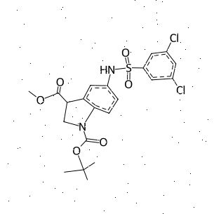 COC(=O)C1CN(C(=O)OC(C)(C)C)c2ccc(NS(=O)(=O)c3cc(Cl)cc(Cl)c3)cc21